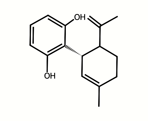 C=C(C)C1CCC(C)=C[C@@H]1c1c(O)cccc1O